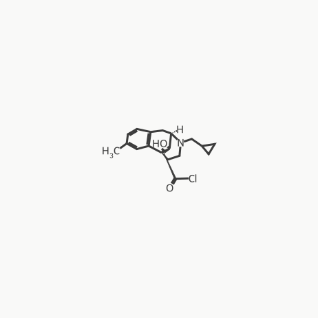 Cc1ccc2c(c1)[C@]13CCN(CC4CC4)[C@H](C2)[C@]1(O)C[C@H](C(=O)Cl)C3